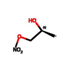 [CH2][C@H](O)CO[N+](=O)[O-]